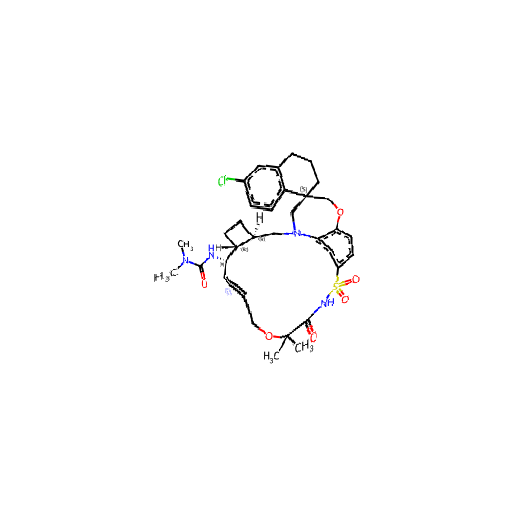 CN(C)C(=O)N[C@H]1/C=C/COC(C)(C)C(=O)NS(=O)(=O)c2ccc3c(c2)N(C[C@@H]2CC[C@H]21)C[C@@]1(CCCc2cc(Cl)ccc21)CO3